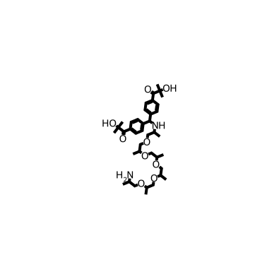 CC(N)COC(C)COC(C)COC(C)COC(C)COCC(C)NC(c1ccc(C(=O)C(C)(C)O)cc1)c1ccc(C(=O)C(C)(C)O)cc1